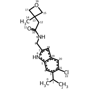 CC(C)c1cc2[nH]c(CNC(=O)CC3(C)COC3)cc2cc1Cl